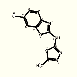 Cc1nnc(Nc2nc3ccc(Cl)cc3o2)o1